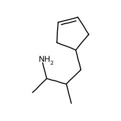 CC(N)C(C)CC1CC=CC1